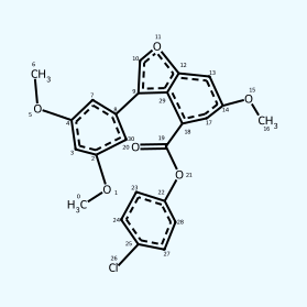 COc1cc(OC)cc(-c2coc3cc(OC)cc(C(=O)Oc4ccc(Cl)cc4)c23)c1